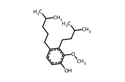 COc1c(O)ccc([C]CCC(C)C)c1CCC(C)C